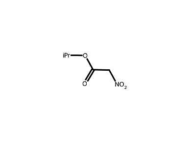 CC(C)OC(=O)C[N+](=O)[O-]